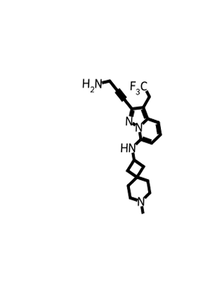 CN1CCC2(CC1)CC(Nc1cccc3c(CC(F)(F)F)c(C#CCN)nn13)C2